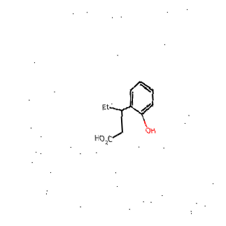 CCC(CC(=O)O)c1ccccc1O